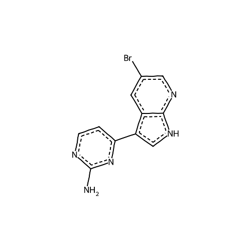 Nc1nccc(-c2c[nH]c3ncc(Br)cc23)n1